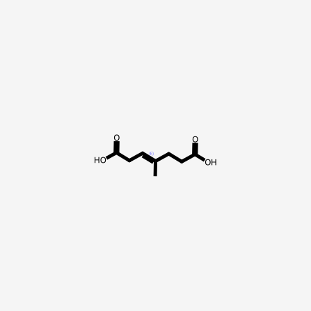 C/C(=C\CC(=O)O)CCC(=O)O